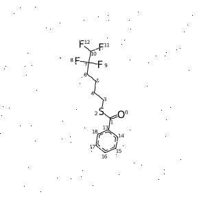 O=C(SCCCCC(F)(F)C(F)F)c1ccccc1